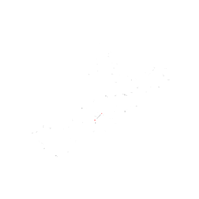 CC1(C)c2ccccc2-c2ccc(N(c3ccc(-c4ccc(-c5cccc6ccccc56)cc4)cc3)c3cc(-c4ccc5ccccc5c4)ccc3-c3ccccc3)cc21